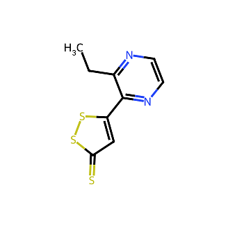 CCc1nccnc1-c1cc(=S)ss1